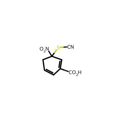 N#CSC1([N+](=O)[O-])C=C(C(=O)O)C=CC1